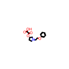 O=C(O)C(=O)O[C@@H]1CCN(CCOc2ccccc2)C1